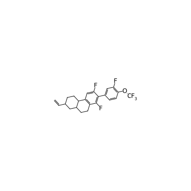 C=CC1CCC2c3cc(F)c(-c4ccc(OC(F)(F)F)c(F)c4)c(F)c3CCC2C1